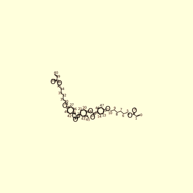 C=CC(=O)OCCCCCCOc1ccc(C(=O)Oc2cc[c]([Co](=[O])[c]3ccc(OCCCCCCOC(=O)C=C)cc3)cc2C)cc1